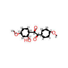 COc1ccc(C(=O)C(=O)c2ccc(OC)cc2O)cc1